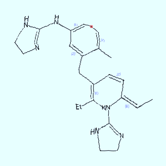 C\C=C(C)/C(=C\C(=C/C)NC1=NCCN1)CC(/C=C\C(=C/C)NC1=NCCN1)=C(/C)CC